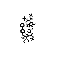 CCOC(=O)C(Cc1ccc(-c2ccccc2)cc1)(OC[C@H]1O[C@@H](n2cnc3c(N(C(=O)OC(C)(C)C)C(=O)OC(C)(C)C)nc(Cl)nc32)[C@@H](F)[C@@H]1OC(=O)OC(C)(C)C)C(=O)OCC